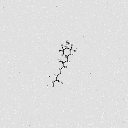 C=CC(=O)OCCNC(=O)SC1CC(C)(C)N(O)C(C)(C)C1